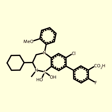 COc1ccccc1N1CC(C2CCCCC2)N(C)S(O)(O)c2cc(-c3ccc(F)c(C(=O)O)c3)c(Cl)cc21